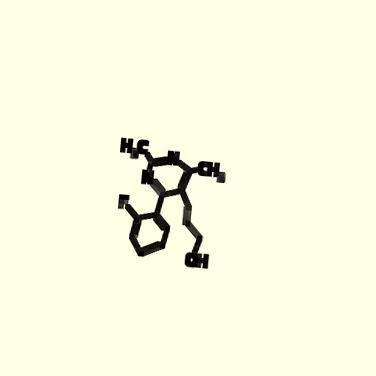 Cc1nc(C)c(C=CCO)c(-c2ccccc2F)n1